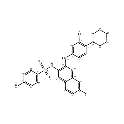 Cc1ccc2nc(NS(=O)(=O)c3ccc(Cl)cc3)c(Nc3ccc(N4CCCCC4)c(Cl)c3)nc2c1